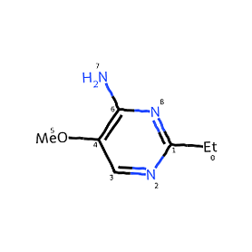 CCc1ncc(OC)c(N)n1